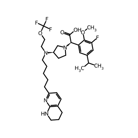 COc1c(F)cc(C(C)C)cc1[C@H](C(=O)O)N1CC[C@@H](N(CCCCCc2ccc3c(n2)NCCC3)CCOC(F)(F)F)C1